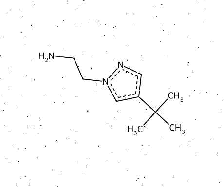 CC(C)(C)c1cnn(CCN)c1